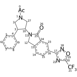 CC(=O)N1CC(c2ccccc2)C(N2Cc3ccc(-c4noc(C(F)(F)F)n4)cc3C2=O)C1